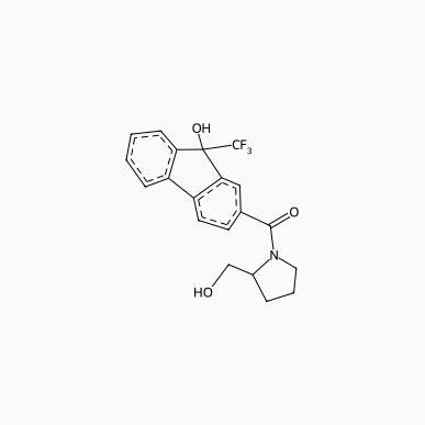 O=C(c1ccc2c(c1)C(O)(C(F)(F)F)c1ccccc1-2)N1CCCC1CO